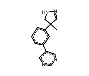 CC1(c2cccc(-c3cncnc3)c2)C=NNC1